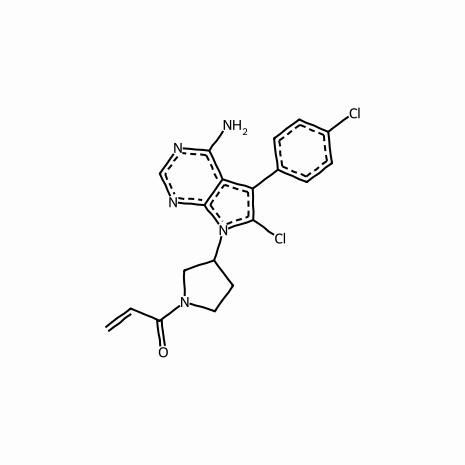 C=CC(=O)N1CCC(n2c(Cl)c(-c3ccc(Cl)cc3)c3c(N)ncnc32)C1